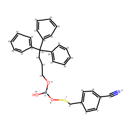 N#Cc1ccc(CSOB(O)OCCCC(c2ccccc2)(c2ccccc2)c2ccccc2)cc1